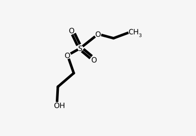 CCOS(=O)(=O)OCCO